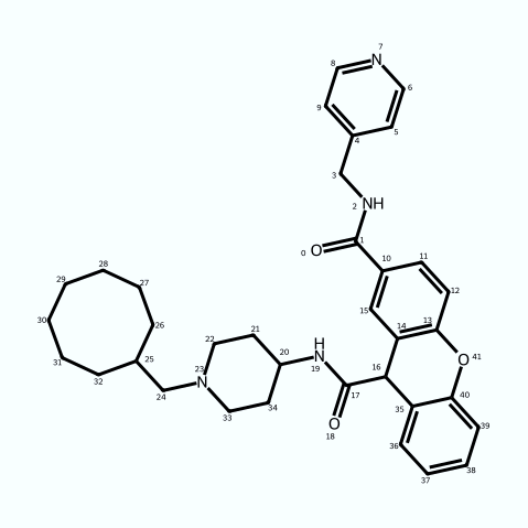 O=C(NCc1ccncc1)c1ccc2c(c1)C(C(=O)NC1CCN(CC3CCCCCCC3)CC1)c1ccccc1O2